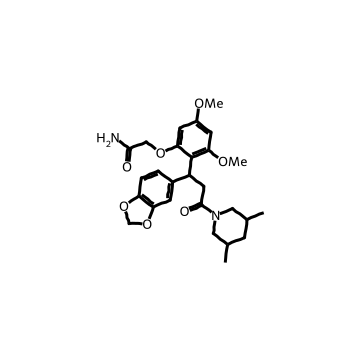 COc1cc(OC)c(C(CC(=O)N2CC(C)CC(C)C2)c2ccc3c(c2)OCO3)c(OCC(N)=O)c1